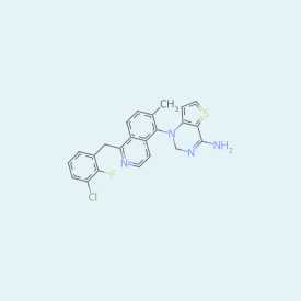 Cc1ccc2c(Cc3cccc(Cl)c3F)nccc2c1N1CN=C(N)c2sccc21